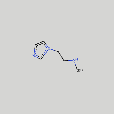 CC(C)(C)NCCn1ccnc1